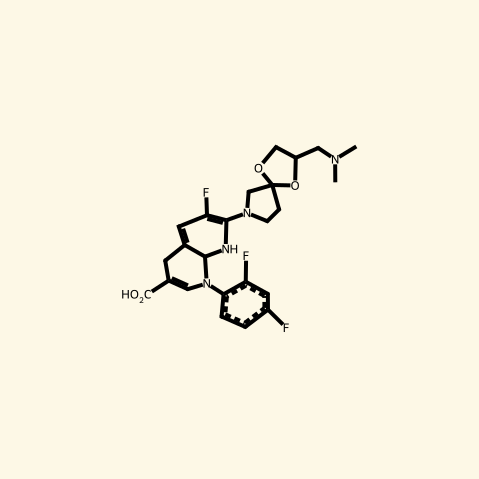 CN(C)CC1COC2(CCN(C3=C(F)C=C4CC(C(=O)O)=CN(c5ccc(F)cc5F)C4N3)C2)O1